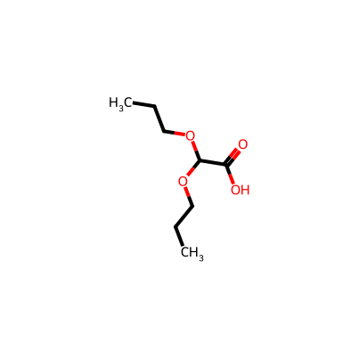 CCCOC(OCCC)C(=O)O